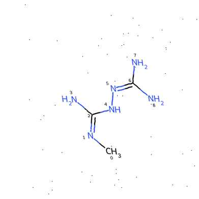 CN=C(N)NN=C(N)N